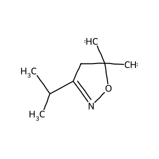 [CH]C1([CH])CC(C(C)C)=NO1